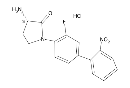 Cl.N[C@H]1CCN(c2ccc(-c3ccccc3[N+](=O)[O-])cc2F)C1=O